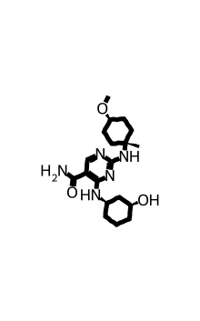 CO[C@H]1CC[C@](C)(Nc2ncc(C(N)=O)c(N[C@@H]3CCC[C@H](O)C3)n2)CC1